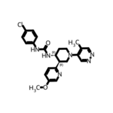 COc1ccc([C@@H]2CN(c3cnncc3C)CC[C@H]2NC(=O)Nc2ccc(Cl)cc2)nc1